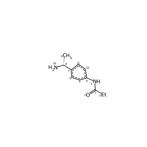 CCC(=O)Nc1ccc([C@@H](C)N)cc1